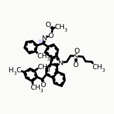 CCCCS(=O)(=O)CCn1c2ccc(/C(=N\OC(C)=O)c3ccccc3C)cc2c2cc(C(=O)c3c(C)cc(C)cc3C)c3ccccc3c21